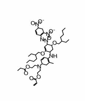 C=CC(=O)OCCN(CCOC(=O)CC)C1C=CC(NC2CC(OCC(CC)CCCC)C(/N=N/C3=C([N+](=O)[O-])CC([N+](=O)[O-])C=C3)C=C2OCC(CC)CCCC)=C(C)C1